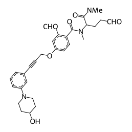 CNC(=O)C(CCC=O)N(C)C(=O)c1ccc(OCC#Cc2cccc(N3CCC(O)CC3)c2)cc1C=O